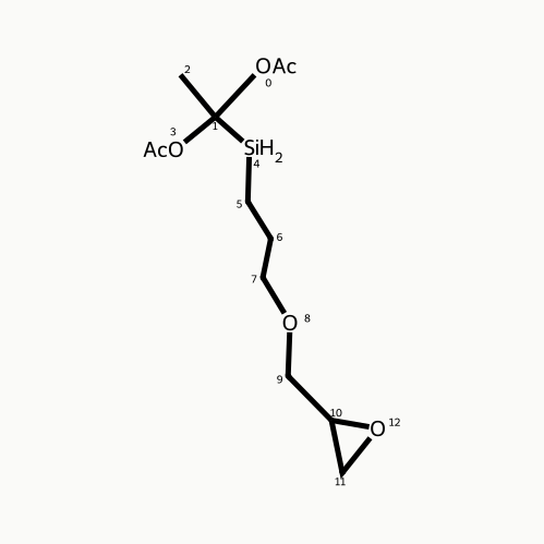 CC(=O)OC(C)(OC(C)=O)[SiH2]CCCOCC1CO1